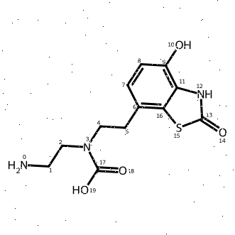 NCCN(CCc1ccc(O)c2[nH]c(=O)sc12)C(=O)O